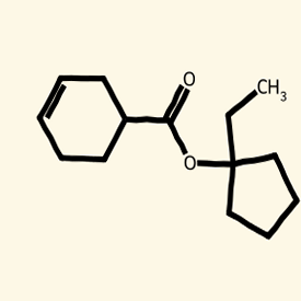 CCC1(OC(=O)C2CC=CCC2)CCCC1